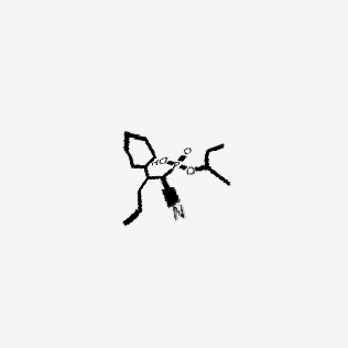 C=CCC(C1CCCCC1)C(C#N)P(=O)(O)OC(C)CC